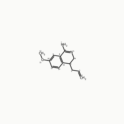 C=CCC1CN=C(N)c2cc(OC)ccc21